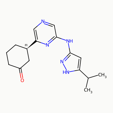 CC(C)c1cc(Nc2cncc([C@@H]3CCCC(=O)C3)n2)n[nH]1